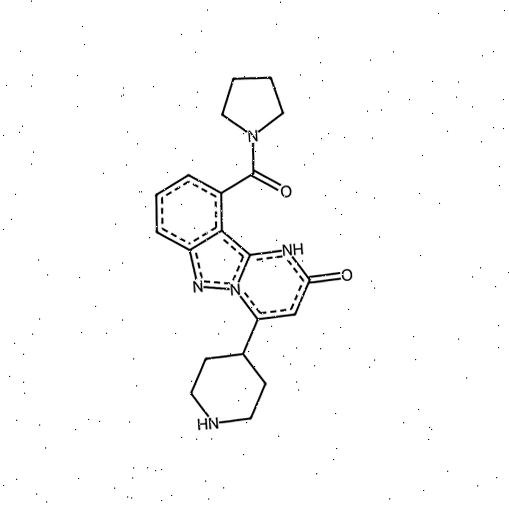 O=C(c1cccc2nn3c(C4CCNCC4)cc(=O)[nH]c3c12)N1CCCC1